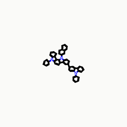 c1ccc(-n2c3ccccc3c3cc(-c4ccc5c(c4)c4ccc6c(c7ccccc7n6-c6ccccc6)c4n5-c4ccc5ccccc5c4)ccc32)cc1